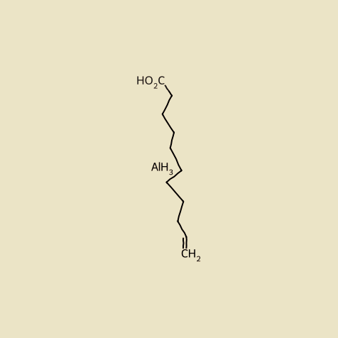 C=CCCCCCCCCC(=O)O.[AlH3]